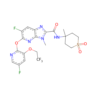 Cn1c(C(=O)NC2(C)CCS(=O)(=O)CC2)nc2cc(F)c(Oc3ncc(F)cc3OCC(F)(F)F)nc21